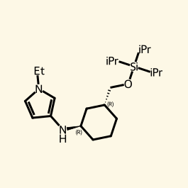 CCn1ccc(N[C@@H]2CCC[C@@H](CO[Si](C(C)C)(C(C)C)C(C)C)C2)c1